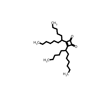 CCCCCCC(CCCCC)c1c(C(CCCCC)CCCCCC)c(=O)c1=O